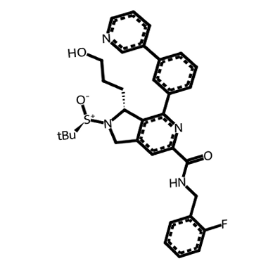 CC(C)(C)[S@@+]([O-])N1Cc2cc(C(=O)NCc3ccccc3F)nc(-c3cccc(-c4cccnc4)c3)c2[C@H]1CCCO